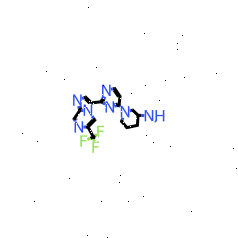 CNC1CCCN(c2ccnc(-c3cnc4cnc(C(F)(F)F)cn34)n2)C1